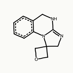 c1ccc2c(c1)CNC1=NCC3(COC3)N12